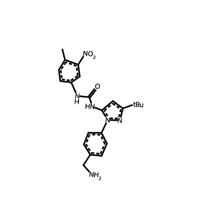 Cc1ccc(NC(=O)Nc2cc(C(C)(C)C)nn2-c2ccc(CN)cc2)cc1[N+](=O)[O-]